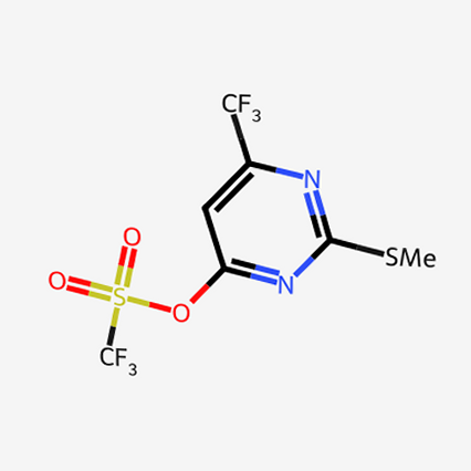 CSc1nc(OS(=O)(=O)C(F)(F)F)cc(C(F)(F)F)n1